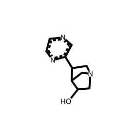 OC1CN2CC(c3cnccn3)C1C2